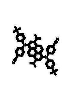 CC(C)c1cc(N(c2ccc(C#N)cc2)c2ccc(C(C)(C)C)cc2)c2ccc3c(C(C)C)cc(N(c4ccc(C#N)cc4)c4ccc(C(C)(C)C)cc4)c4ccc1c2c34